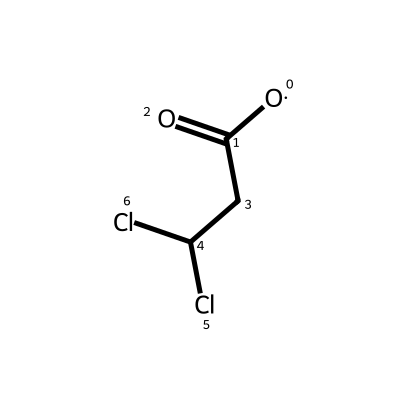 [O]C(=O)CC(Cl)Cl